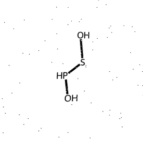 OPSO